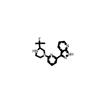 CC(C)(F)C1CN(c2cccc(-c3n[nH]c4ncccc34)n2)CCN1